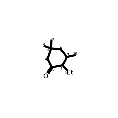 CCC1C(=O)CC(C)(C)CC1C